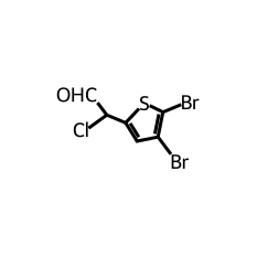 O=CC(Cl)c1cc(Br)c(Br)s1